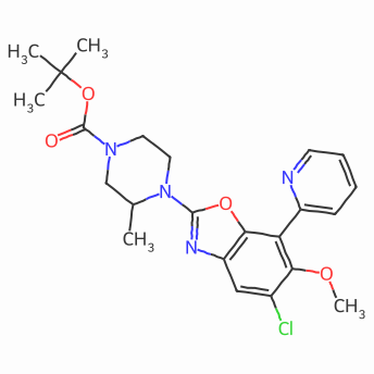 COc1c(Cl)cc2nc(N3CCN(C(=O)OC(C)(C)C)CC3C)oc2c1-c1ccccn1